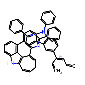 C=C/C=C(\C=C)c1ccc2c(c1)c1cc(-c3cccc4[nH]c5c(c34)C(c3cc(-c4ccccc4)nc(-c4ccccc4)n3)=CCC=C5)ccc1n2-c1ccccc1